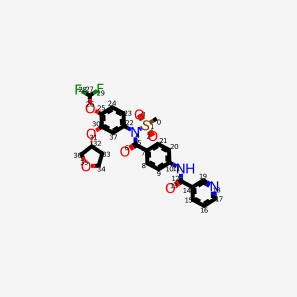 CS(=O)(=O)N(C(=O)c1ccc(NC(=O)c2cccnc2)cc1)c1ccc(OC(F)F)c(O[C@@H]2CCOC2)c1